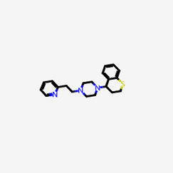 c1ccc(CCN2CCN(C3CCSc4ccccc43)CC2)nc1